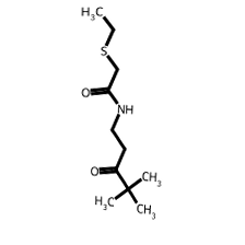 CCSCC(=O)NCCC(=O)C(C)(C)C